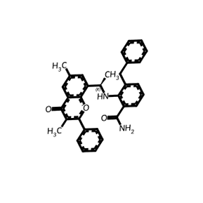 Cc1cc([C@@H](C)Nc2c(Cc3ccccc3)cccc2C(N)=O)c2oc(-c3ccccc3)c(C)c(=O)c2c1